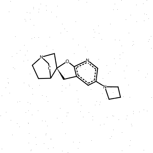 c1nc2c(cc1N1CCC1)C[C@@]1(CN3CCC1CC3)O2